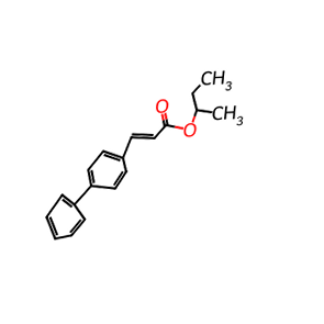 CCC(C)OC(=O)C=Cc1ccc(-c2ccccc2)cc1